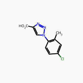 Cc1cc(Cl)ccc1-n1cc(C(=O)O)nn1